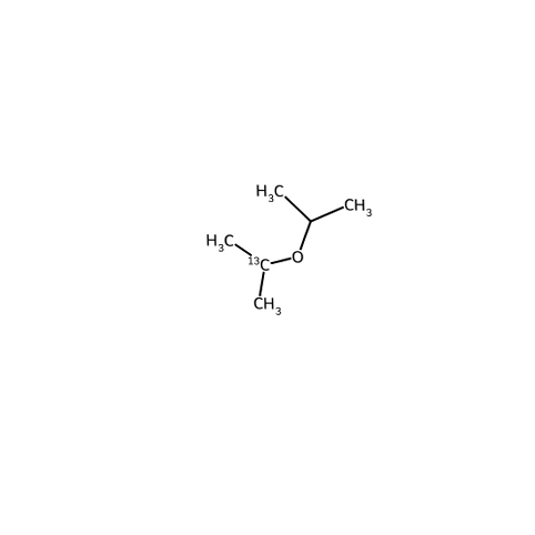 CC(C)O[13CH](C)C